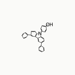 Oc1ccc(-n2c3ccc(-c4ccccc4)cc3c3cc(-c4ccccc4)ccc32)cc1